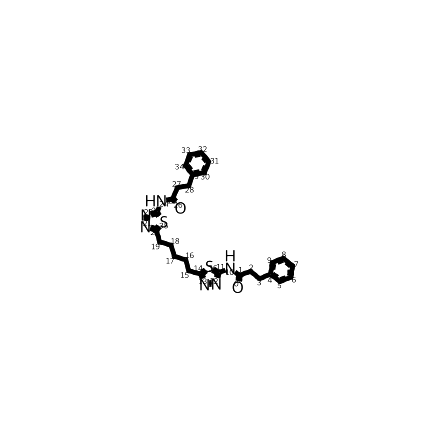 O=C(CCc1ccccc1)Nc1nnc(CCCCCc2nnc(NC(=O)CCc3ccccc3)s2)s1